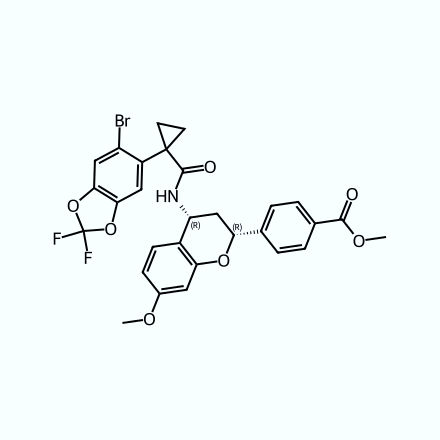 COC(=O)c1ccc([C@H]2C[C@@H](NC(=O)C3(c4cc5c(cc4Br)OC(F)(F)O5)CC3)c3ccc(OC)cc3O2)cc1